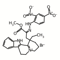 CCC1(CC(=NNc2ccc([N+](=O)[O-])cc2[N+](=O)[O-])C(=O)OC)CCC[N+]2=C1c1[nH]c3ccccc3c1CC2.[Br-]